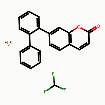 FC(F)F.O=c1ccc2ccc(-c3ccccc3-c3ccccc3)cc2o1.S